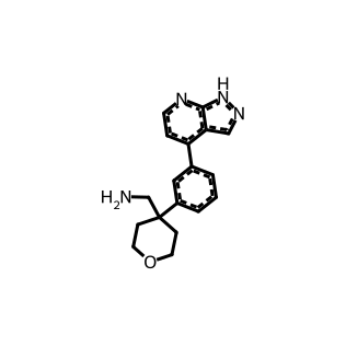 NCC1(c2cccc(-c3ccnc4[nH]ncc34)c2)CCOCC1